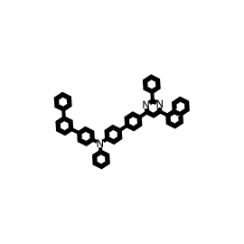 c1ccc(-c2cccc(-c3ccc(N(c4ccccc4)c4ccc(-c5ccc(-c6cc(-c7cccc8ccccc78)nc(-c7ccccc7)n6)cc5)cc4)cc3)c2)cc1